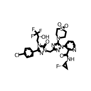 O=C(N[C@H]1C[C@@H]1F)c1ncccc1-n1nc(Cn2nc(-c3ccc(Cl)cc3)n(C[C@@H](O)C(F)(F)F)c2=O)nc1N1CCS(=O)(=O)CC1